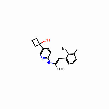 CCc1c(C)cccc1/C=C(\C=O)Nc1ccc(C2(O)CCC2)cn1